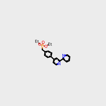 CCOP(=O)(Cc1ccc(-c2ccnc(-c3ccccn3)c2)cc1)OCC